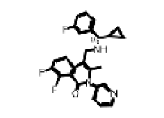 Cc1c(CN[C@H](c2cccc(F)c2)C2CC2)c2ccc(F)c(F)c2c(=O)n1-c1cccnc1